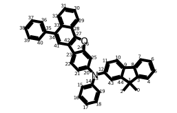 CC1(C)c2ccccc2-c2ccc(N(c3ccccc3)c3ccc4c(c3)oc3c5ccccc5c(-c5ccccc5)cc43)cc21